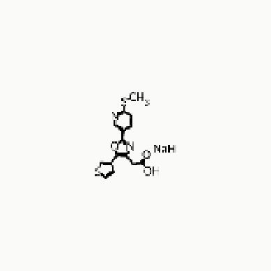 CSc1ccc(-c2nc(CC(=O)O)c(-c3ccsc3)o2)cn1.[NaH]